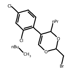 CCCC1OC(CBr)OC=C1c1ccc(Cl)cc1Cl.CCCCC